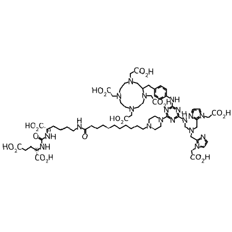 O=C(O)CC[C@H](NC(=O)N[C@@H](CCCCNC(=O)CCCCCCCCCCN1CCN(c2nc(NCN(Cc3nccn3CC(=O)O)Cc3nccn3CC(=O)O)nc(Nc3ccc(CC4CN(CC(=O)O)CCN(CC(=O)O)CCN(CC(=O)O)CCN4CC(=O)O)cc3)n2)CC1)C(=O)O)C(=O)O